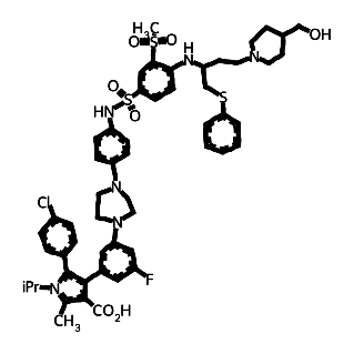 Cc1c(C(=O)O)c(-c2cc(F)cc(N3CCN(c4ccc(NS(=O)(=O)c5ccc(NC(CCN6CCC(CO)CC6)CSc6ccccc6)c(S(C)(=O)=O)c5)cc4)CC3)c2)c(-c2ccc(Cl)cc2)n1C(C)C